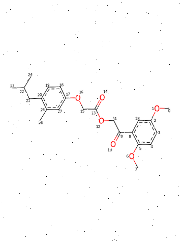 COc1ccc(OC)c(C(=O)COC(=O)COc2ccc(CC(C)C)c(C)c2)c1